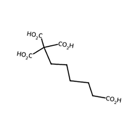 O=C(O)CCCCCC(C(=O)O)(C(=O)O)C(=O)O